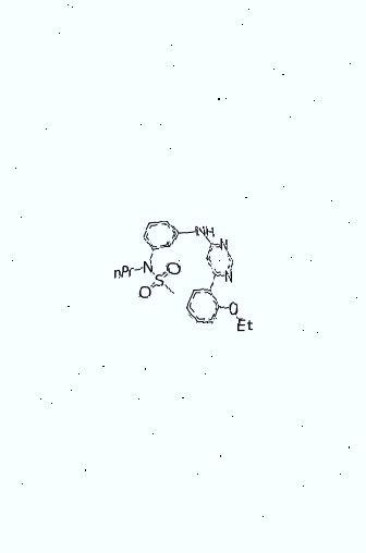 CCCN(c1cccc(Nc2cc(-c3ccccc3OCC)ncn2)c1)S(C)(=O)=O